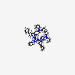 c1ccc(-c2ccc3c(c2)c2cc(N(c4ccccc4)c4ccccc4)ccc2n3-c2nc(-c3ccccc3)nc(-n3c4ccc(-c5ccccc5)cc4c4cc(N(c5ccccc5)c5ccccc5)ccc43)n2)cc1